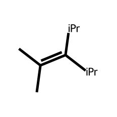 CC(C)=C(C(C)C)C(C)C